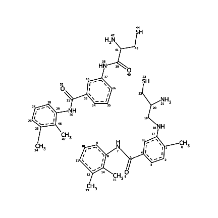 Cc1ccc(C(=O)Nc2cccc(C)c2C)cc1NCC(N)CS.Cc1cccc(NC(=O)c2cccc(NC(=O)C(N)CS)c2)c1C